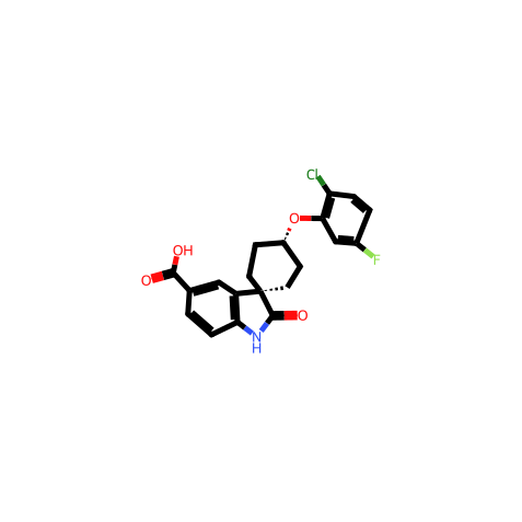 O=C(O)c1ccc2c(c1)[C@]1(CC[C@@H](Oc3cc(F)ccc3Cl)CC1)C(=O)N2